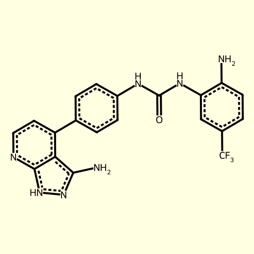 Nc1ccc(C(F)(F)F)cc1NC(=O)Nc1ccc(-c2ccnc3[nH]nc(N)c23)cc1